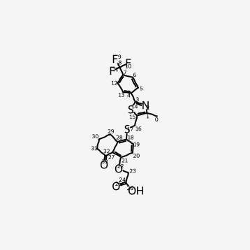 Cc1nc(-c2ccc(C(F)(F)F)cc2)sc1CSc1ccc(OCC(=O)O)c2c1CCCC2=O